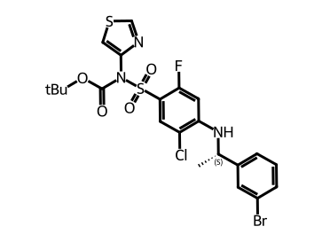 C[C@H](Nc1cc(F)c(S(=O)(=O)N(C(=O)OC(C)(C)C)c2cscn2)cc1Cl)c1cccc(Br)c1